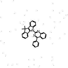 CC1(C)c2ccccc2-c2c1c1ccccc1n2-c1nc(-c2ccccc2)c2ccccc2n1